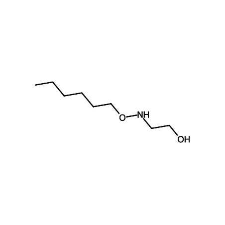 CCCCCCONCCO